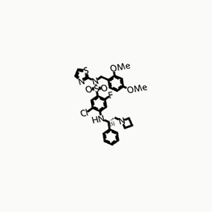 COc1ccc(CN(c2nccs2)S(=O)(=O)c2cc(Cl)c(N[C@H](CN3CCC3)c3ccccc3)cc2F)c(OC)c1